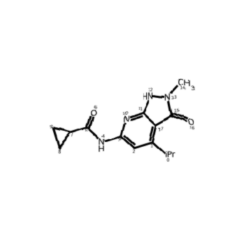 CC(C)c1cc(NC(=O)C2CC2)nc2[nH]n(C)c(=O)c12